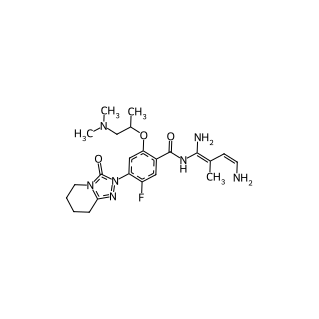 CC(/C=C\N)=C(/N)NC(=O)c1cc(F)c(-n2nc3n(c2=O)CCCC3)cc1OC(C)CN(C)C